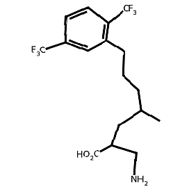 CC(CCCc1cc(C(F)(F)F)ccc1C(F)(F)F)CC(CN)C(=O)O